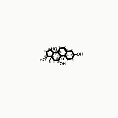 C[C@]12CC[C@H](O)CC1=CC[C@]1(O)C2[C@H](O)C[C@@]2(C)C1CC[C@@H]2O